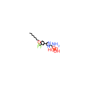 CCCCCCCCOc1ccc(-c2cnc(C(N)COP(=O)(O)O)nc2)cc1C(F)(F)F